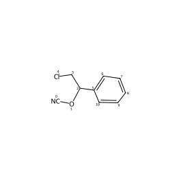 N#COC(CCl)c1ccccc1